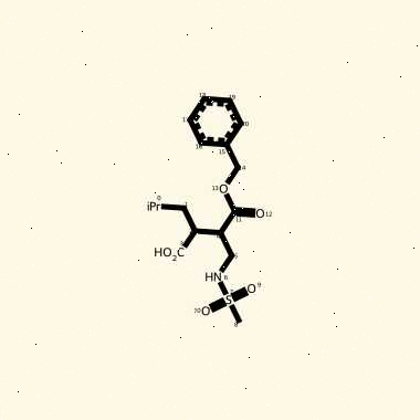 CC(C)CC(C(=O)O)C(CNS(C)(=O)=O)C(=O)OCc1ccccc1